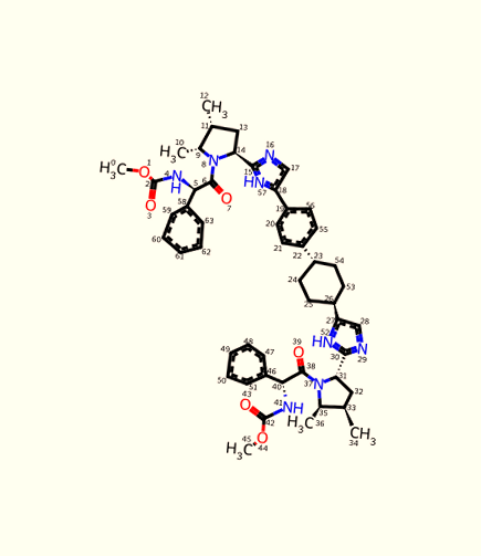 COC(=O)N[C@@H](C(=O)N1[C@H](C)[C@H](C)C[C@H]1c1ncc(-c2ccc([C@H]3CC[C@H](c4cnc([C@@H]5C[C@@H](C)[C@@H](C)N5C(=O)[C@H](NC(=O)OC)c5ccccc5)[nH]4)CC3)cc2)[nH]1)c1ccccc1